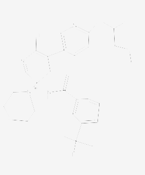 COCC(C)Oc1ccc(C2=C(C)N=C[C@](NC(=O)c3cccc(C(F)(F)F)c3)(N3CCOCC3)C2)cn1